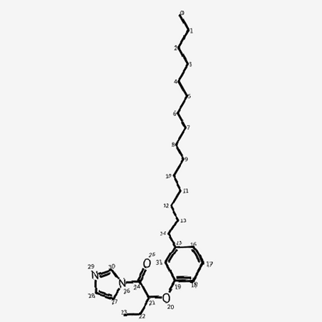 CCCCCCCCCCCCCCCc1cccc(OC(CC)C(=O)n2ccnc2)c1